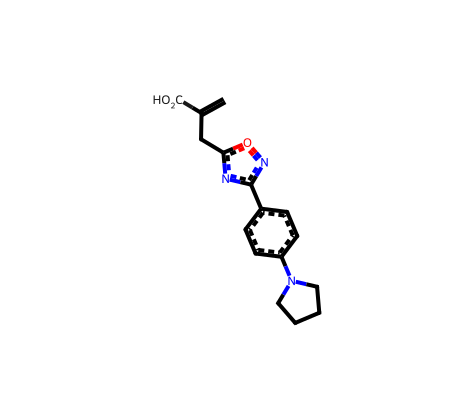 C=C(Cc1nc(-c2ccc(N3CCCC3)cc2)no1)C(=O)O